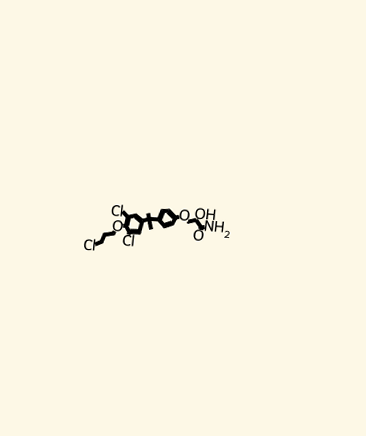 CC(C)(c1ccc(OCC(O)C(N)=O)cc1)c1cc(Cl)c(OCCCCl)c(Cl)c1